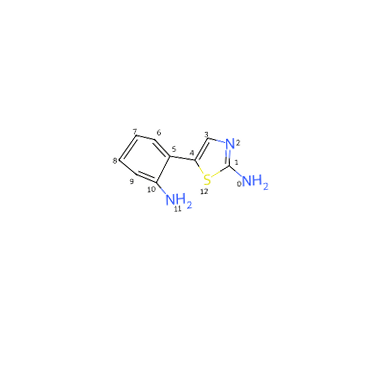 Nc1ncc(-c2ccccc2N)s1